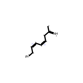 CC(=N)C/C=C\C=C/CC(C)C